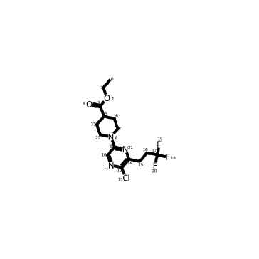 CCOC(=O)C1CCN(c2cnc(Cl)c(CCC(F)(F)F)n2)CC1